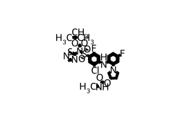 CNC(=O)OC1CCN(c2cc(F)ccc2Nc2cc(F)c(S(=O)(=O)N(C(=O)OC(C)(C)C)c3ncns3)cc2Cl)C1